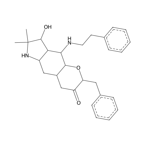 CC1(C)NC2CC3CC(=O)C(Cc4ccccc4)OC3C(NCCc3ccccc3)C2C1O